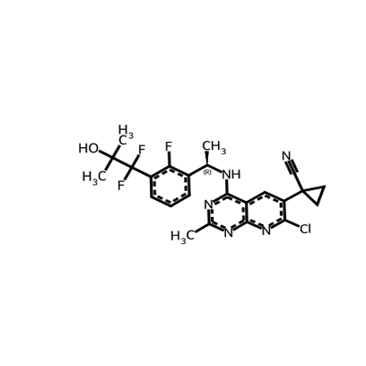 Cc1nc(N[C@H](C)c2cccc(C(F)(F)C(C)(C)O)c2F)c2cc(C3(C#N)CC3)c(Cl)nc2n1